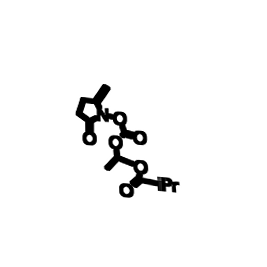 C=C1CCC(=O)N1OC(=O)OC(C)OC(=O)C(C)C